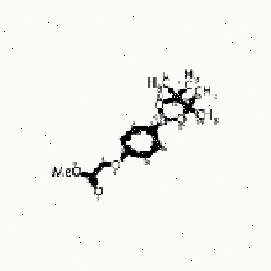 COC(=O)COc1ccc(B2OC(C)(C)C(C)(C)O2)cc1